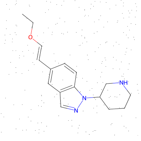 CCOC=Cc1ccc2c(cnn2C2CCCNC2)c1